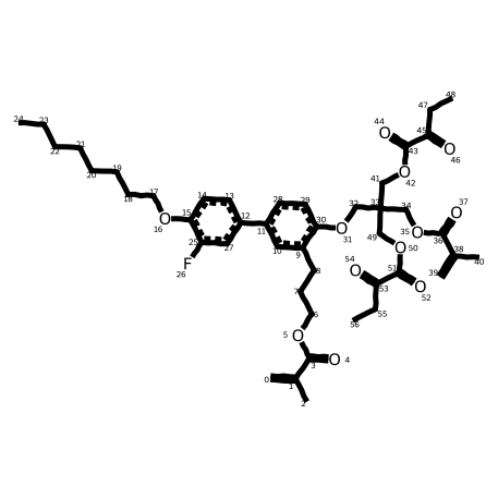 C=C(C)C(=O)OCCCc1cc(-c2ccc(OCCCCCCCC)c(F)c2)ccc1OCC(COC(=O)C(=C)C)(COC(=O)C(=O)CC)COC(=O)C(=O)CC